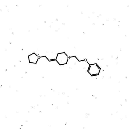 C(CN1CCCC1)=C1CCN(CCOc2ccccc2)CC1